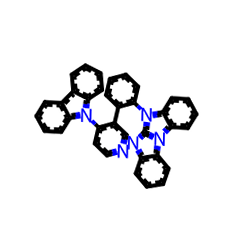 c1ccc(-n2c3ccccc3n3c4ccccc4nc23)c(-c2cnccc2-n2c3ccccc3c3ccccc32)c1